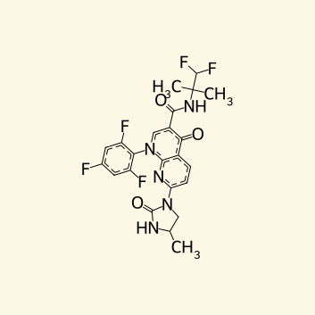 CC1CN(c2ccc3c(=O)c(C(=O)NC(C)(C)C(F)F)cn(-c4c(F)cc(F)cc4F)c3n2)C(=O)N1